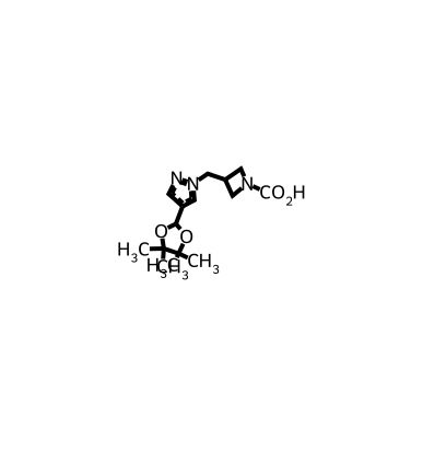 CC1(C)OC(c2cnn(CC3CN(C(=O)O)C3)c2)OC1(C)C